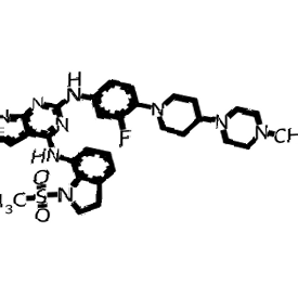 CN1CCN(C2CCN(c3ccc(Nc4nc(Nc5cccc6c5N(S(C)(=O)=O)CC6)c5cc[nH]c5n4)cc3F)CC2)CC1